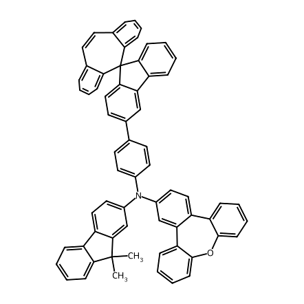 CC1(C)c2ccccc2-c2ccc(N(c3ccc(-c4ccc5c(c4)-c4ccccc4C54c5ccccc5C=Cc5ccccc54)cc3)c3ccc4c(c3)-c3ccccc3Oc3ccccc3-4)cc21